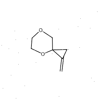 C=C1[CH]C12COCCO2